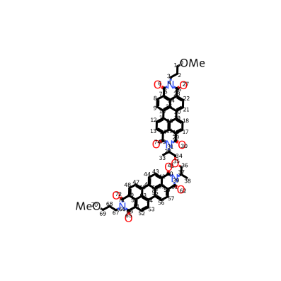 COCCCN1C(=O)c2ccc3c4ccc5c6c(ccc(c7ccc(c2c37)C1=O)c64)C(=O)N(C(C)COCC(C)N1C(=O)c2ccc3c4ccc6c7c(ccc(c8ccc(c2c38)C1=O)c74)C(=O)N(CCCOC)C6=O)C5=O